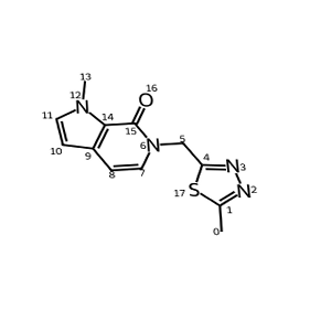 Cc1nnc(Cn2ccc3ccn(C)c3c2=O)s1